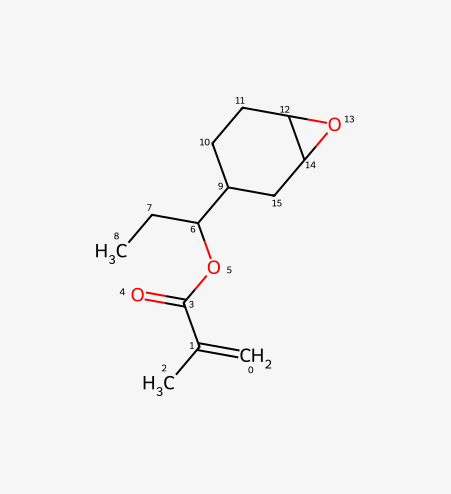 C=C(C)C(=O)OC(CC)C1CCC2OC2C1